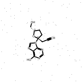 C#CC[C@]1(n2cnc3c(O)ncnc32)CC[C@@H](CO)O1